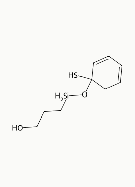 OCCC[SiH2]OC1(S)C=CC=CC1